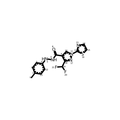 Cc1ccc(NNC(=O)c2cn(-c3nccs3)nc2C(F)F)cc1